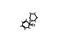 CCC1(N2CCCCC2)C=CC=CC1